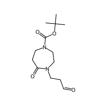 CC(C)(C)OC(=O)N1CCC(=O)N(CCC=O)CC1